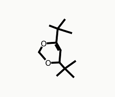 CC(C)(C)C1=CC(C(C)(C)C)OCO1